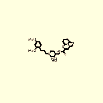 COc1ccc(CCCN2CCC(CNC(=O)C3=Cc4cnc5cccc(n45)S3)CC2)c(OC)c1.Cl.Cl